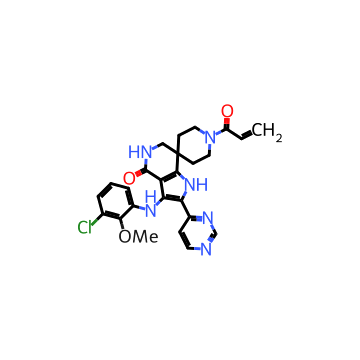 C=CC(=O)N1CCC2(CC1)CNC(=O)c1c2[nH]c(-c2ccncn2)c1Nc1cccc(Cl)c1OC